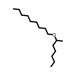 CCCCCCCCCOC(C)CCCCC